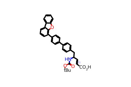 CC(C)(C)OC(=O)NC(/C=C/C(=O)O)Cc1ccc(-c2ccc(-c3cccc4c3oc3ccccc34)cc2)cc1